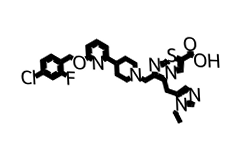 CCn1cncc1Cc1c(CN2CCC(c3cccc(OCc4ccc(Cl)cc4F)n3)CC2)nc2sc(C(=O)O)cn12